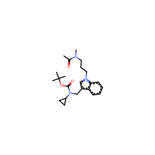 CC(=O)N(C)CCCn1cc(CN(C(=O)OC(C)(C)C)C2CC2)c2ccccc21